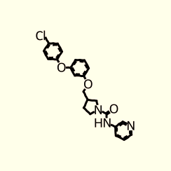 O=C(Nc1cccnc1)N1CCC(COc2cccc(Oc3ccc(Cl)cc3)c2)C1